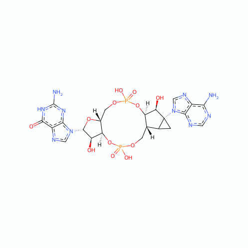 Nc1nc2c(ncn2[C@@H]2O[C@@H]3COP(=O)(O)O[C@H]4[C@@H](O)[C@@]5(n6cnc7c(N)ncnc76)CC5[C@@H]4COP(=O)(O)O[C@H]3[C@H]2O)c(=O)[nH]1